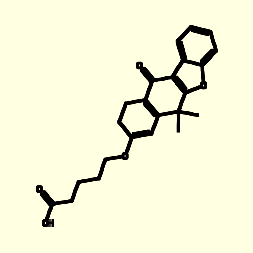 CC1(C)C2=C(CCC(OCCCCC(=O)O)=C2)C(=O)c2c1oc1ccccc21